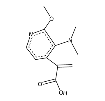 C=C(C(=O)O)c1ccnc(OC)c1N(C)C